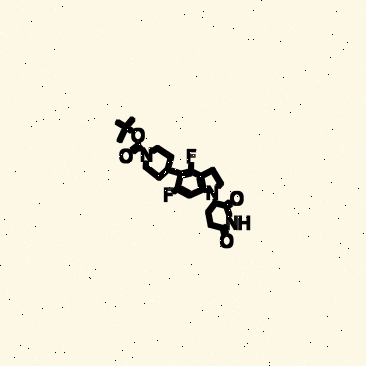 CC(C)(C)OC(=O)N1CCC(c2c(F)cc3c(c2F)CCN3[C@H]2CCC(=O)NC2=O)CC1